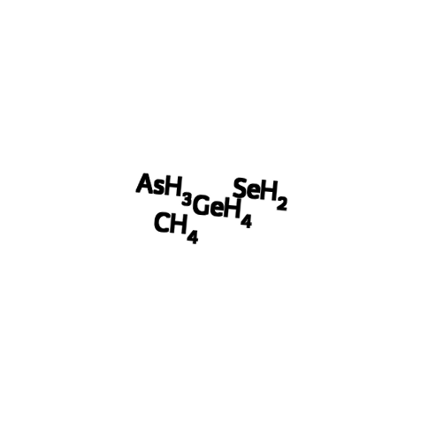 C.[AsH3].[GeH4].[SeH2]